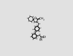 C=C1OC2(CCCCC2)CN1Cc1ccc(-c2ccccc2CN(CC)CC)cc1